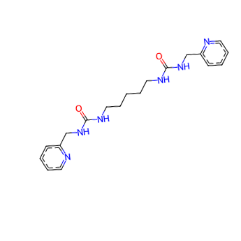 O=C(NCCCCCNC(=O)NCc1ccccn1)NCc1ccccn1